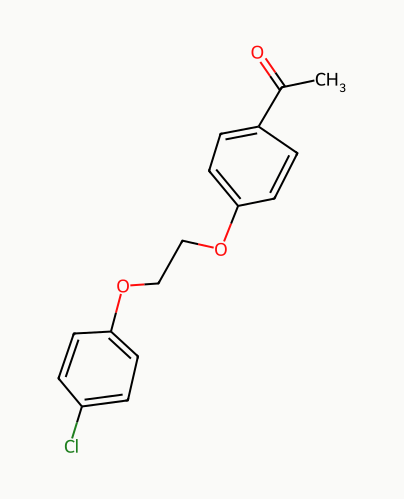 CC(=O)c1ccc(OCCOc2ccc(Cl)cc2)cc1